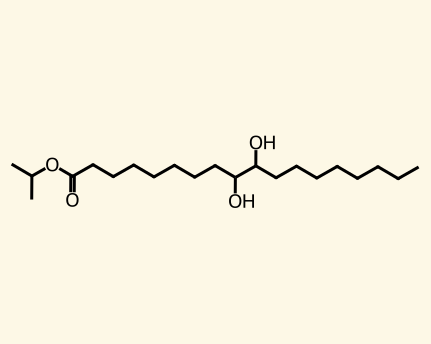 CCCCCCCCC(O)C(O)CCCCCCCC(=O)OC(C)C